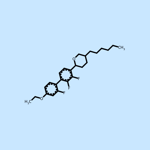 CCCCCCC1CCC(c2ccc(-c3ccc(OCC)cc3F)c(F)c2F)OC1